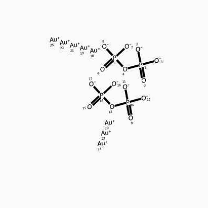 O=P([O-])([O-])OP(=O)([O-])[O-].O=P([O-])([O-])OP(=O)([O-])[O-].[Au+].[Au+].[Au+].[Au+].[Au+].[Au+].[Au+].[Au+]